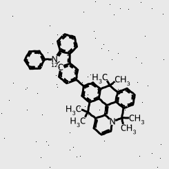 CC1(C)C2=CC=CN3C2=C2c4c1cc(-c1cc[12c]5c(c1)c1ccccc1n5-c1ccccc1)cc4C(C)(C)c1cccc(c12)C3(C)C